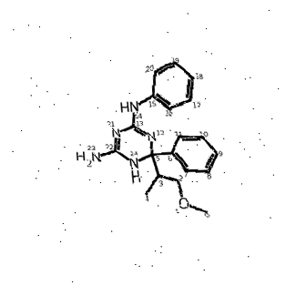 COCC(C)C1(c2ccccc2)N=C(Nc2ccccc2)N=C(N)N1